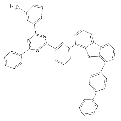 Cc1cccc(-c2nc(-c3ccccc3)nc(-c3cccc(-c4cccc5c4sc4c(-c6ccc(-c7ccccc7)cc6)cccc45)c3)n2)c1